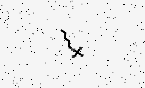 CCCC[CH2][Hg][C](Br)(Br)Br